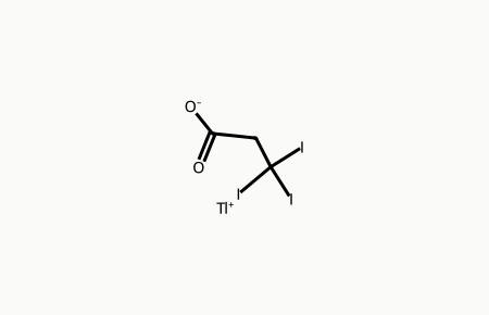 O=C([O-])CC(I)(I)I.[Tl+]